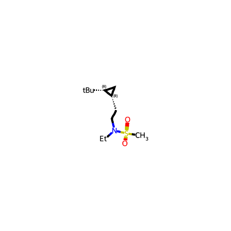 CCN(CC[C@H]1C[C@H]1C(C)(C)C)S(C)(=O)=O